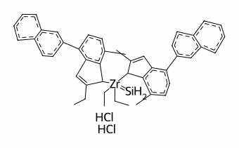 CCC1=Cc2c(-c3ccc4ccccc4c3)ccc(C)c2[CH]1[Zr](=[SiH2])([CH2]C)([CH2]C)[CH]1C(C)=Cc2c(-c3ccc4ccccc4c3)ccc(C)c21.Cl.Cl